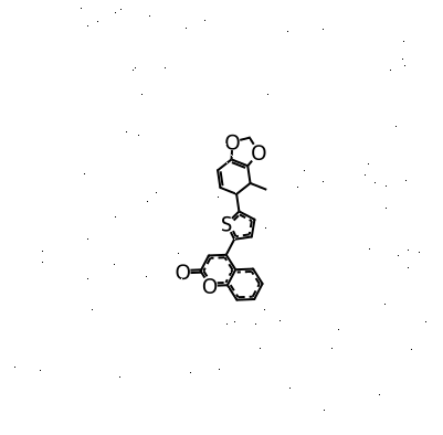 CC1C2=C(C=CC1c1ccc(-c3cc(=O)oc4ccccc34)s1)OCO2